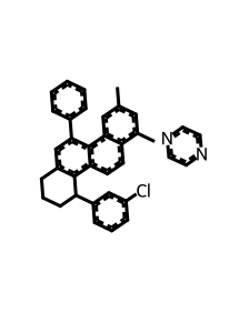 Cc1cc(C)c2ccc3c4c(cc(-c5ccccc5)c3c2c1)CCCC4c1cccc(Cl)c1.c1cnccn1